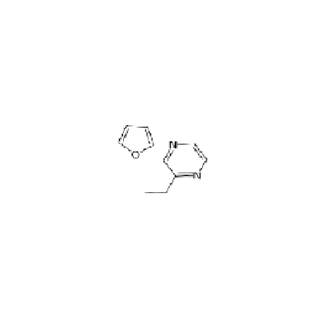 CCc1cnccn1.c1ccoc1